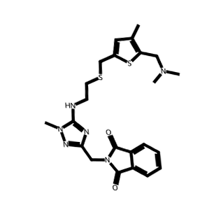 Cc1cc(CSCCNc2nc(CN3C(=O)c4ccccc4C3=O)nn2C)sc1CN(C)C